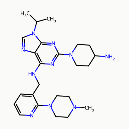 CC(C)n1cnc2c(NCc3cccnc3N3CCN(C)CC3)nc(N3CCC(N)CC3)nc21